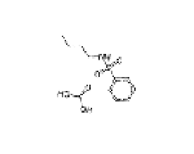 CCCCNS(=O)(=O)c1ccccc1.O=C(O)O